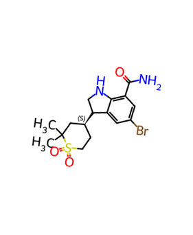 CC1(C)C[C@@H](C2CNc3c(C(N)=O)cc(Br)cc32)CCS1(=O)=O